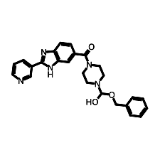 O=C(c1ccc2nc(-c3cccnc3)[nH]c2c1)N1CCN(C(O)OCc2ccccc2)CC1